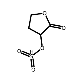 O=C1OCCC1O[SH](=O)=O